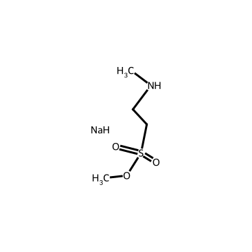 CNCCS(=O)(=O)OC.[NaH]